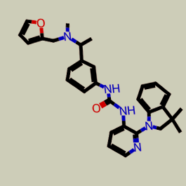 CC(c1cccc(NC(=O)Nc2cccnc2N2CC(C)(C)c3ccccc32)c1)N(C)Cc1ccco1